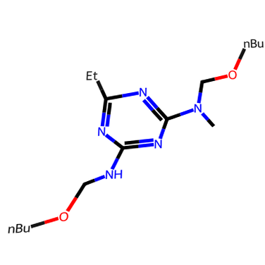 CCCCOCNc1nc(CC)nc(N(C)COCCCC)n1